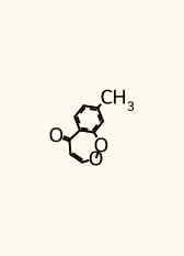 Cc1ccc2c(c1)OOC=CC2=O